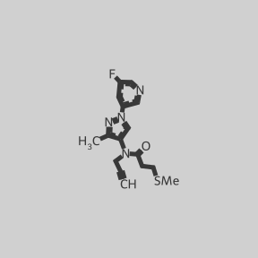 C#CCN(C(=O)CCSC)c1cn(-c2cncc(F)c2)nc1C